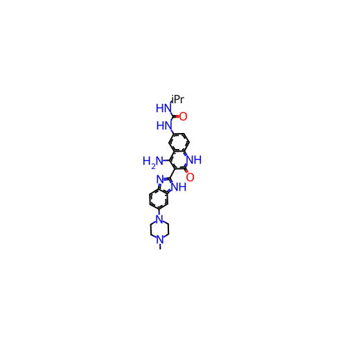 CC(C)NC(=O)Nc1ccc2[nH]c(=O)c(-c3nc4ccc(N5CCN(C)CC5)cc4[nH]3)c(N)c2c1